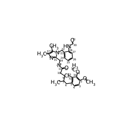 COc1ccc(CC(C)CCC(=O)[N]Cc2nc(C)c(C)n2Cc2ccccc2NC=O)c(Cl)c1OC